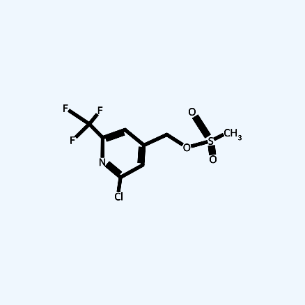 CS(=O)(=O)OCc1cc(Cl)nc(C(F)(F)F)c1